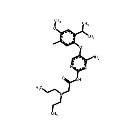 CCCN(CCC)CC(=O)Nc1ncc(Oc2cc(I)c(OC)cc2C(C)C)c(N)n1